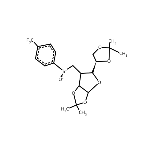 CC1(C)OC2OC([C@H]3COC(C)(C)O3)C(C[S@@+]([O-])c3ccc(C(F)(F)F)cc3)C2O1